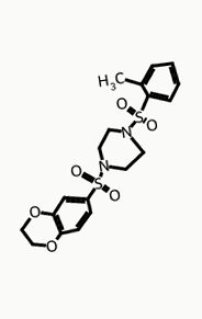 Cc1ccccc1S(=O)(=O)N1CCN(S(=O)(=O)c2ccc3c(c2)OCCO3)CC1